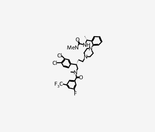 CNC(=O)N[C@H](C)c1ccccc1N1CCN(CC[C@H](CN(C)C(=O)c2cc(F)cc(C(F)(F)F)c2)c2ccc(Cl)c(Cl)c2)CC1